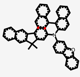 CC1(C)c2cc(N(c3ccc4c(c3)oc3ccccc34)c3ccc4ccccc4c3-c3cccc4ccccc34)ccc2-c2cc3ccccc3cc21